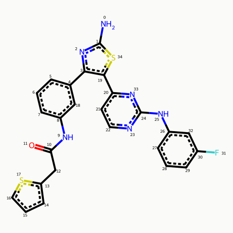 Nc1nc(-c2cccc(NC(=O)Cc3cccs3)c2)c(-c2ccnc(Nc3cccc(F)c3)n2)s1